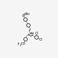 CCCCOc1ccc(-c2ccc(C=Cc3nc(-c4ccc(Cl)cc4Cl)cn3Cc3ccc(OC(F)(F)F)cc3)cc2)cc1